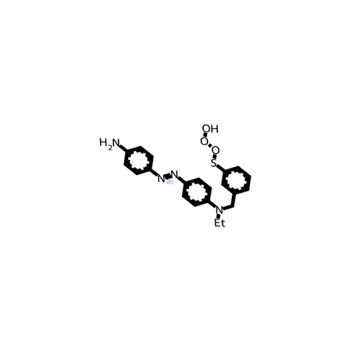 CCN(Cc1cccc(SOOO)c1)c1ccc(/N=N/c2ccc(N)cc2)cc1